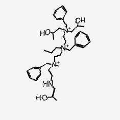 CCC[N+](CC[N+](C)(CCNCC(C)O)Cc1ccccc1)(CC[N+](Cc1ccccc1)(CC(C)O)CC(C)O)Cc1ccccc1